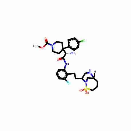 COC(=O)N1CCC(c2ccc(Cl)cc2)([C@H](N)C(=O)Nc2cccc(F)c2CC[C@H]2CN[C@@H]3CCCS(O)(O)N2C3)CC1